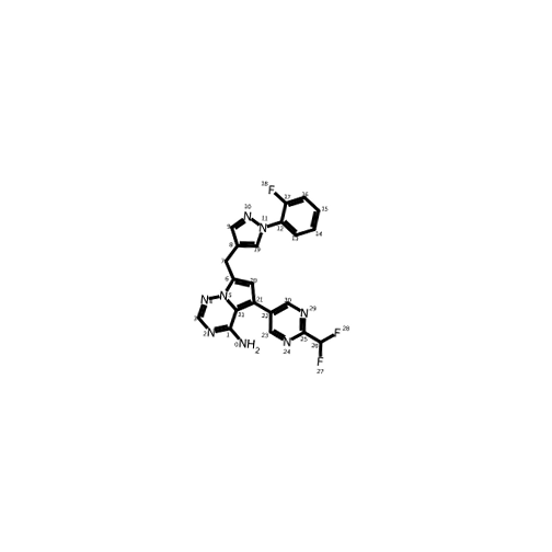 Nc1ncnn2c(Cc3cnn(-c4ccccc4F)c3)cc(-c3cnc(C(F)F)nc3)c12